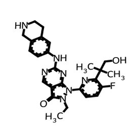 CCn1c(=O)c2cnc(Nc3ccc4c(c3)CCNC4)nc2n1-c1ccc(F)c(C(C)(C)CO)n1